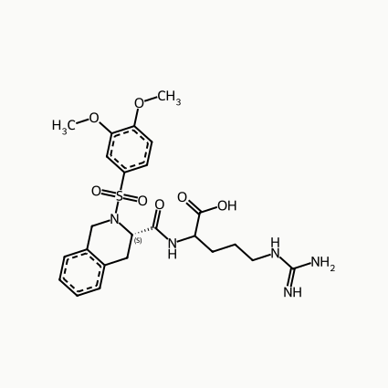 COc1ccc(S(=O)(=O)N2Cc3ccccc3C[C@H]2C(=O)NC(CCCNC(=N)N)C(=O)O)cc1OC